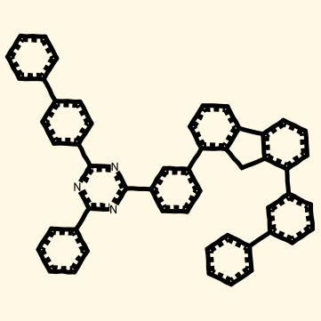 c1ccc(-c2ccc(-c3nc(-c4ccccc4)nc(-c4cccc(-c5cccc6c5Cc5c(-c7cccc(-c8ccccc8)c7)cccc5-6)c4)n3)cc2)cc1